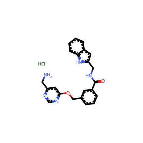 Cl.NCc1cc(OCc2cccc(C(=O)NCc3cc4ccccc4[nH]3)c2)ncn1